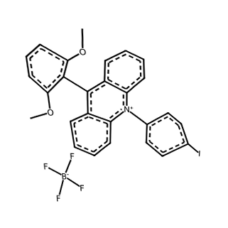 COc1cccc(OC)c1-c1c2ccccc2[n+](-c2ccc(I)cc2)c2ccccc12.F[B-](F)(F)F